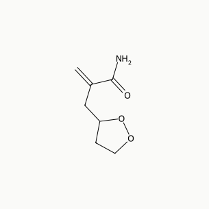 C=C(CC1CCOO1)C(N)=O